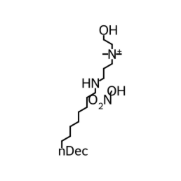 CCCCCCCCCCCCCCCCCCNCCC[N+](C)(C)CCO.O=[N+]([O-])O